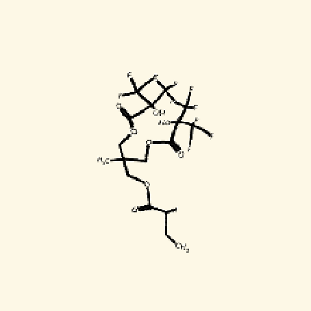 CCC(I)C(=O)OCC(C)(COC(=O)C(O)(C(F)(F)F)C(F)(F)F)COC(=O)C(O)(C(F)(F)F)C(F)(F)F